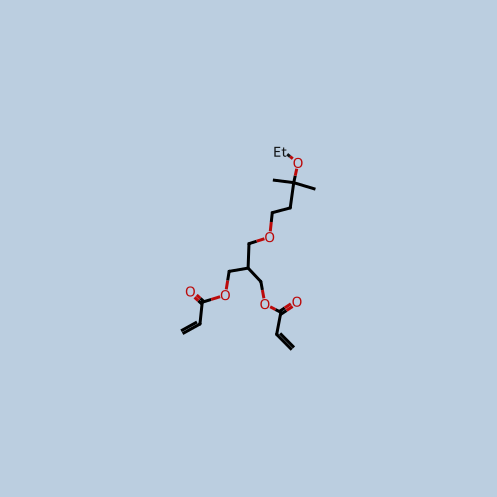 C=CC(=O)OCC(COCCC(C)(C)OCC)COC(=O)C=C